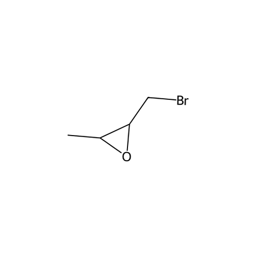 CC1OC1CBr